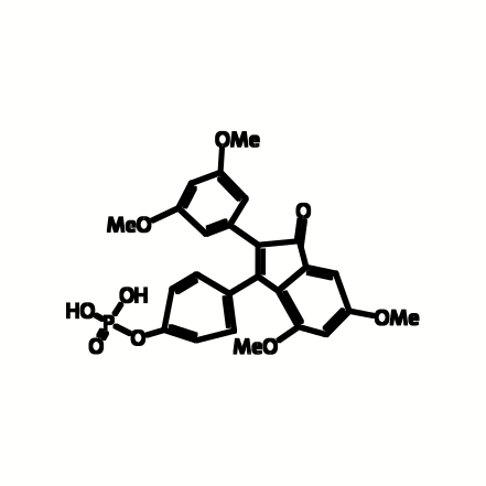 COc1cc(OC)cc(C2=C(c3ccc(OP(=O)(O)O)cc3)c3c(OC)cc(OC)cc3C2=O)c1